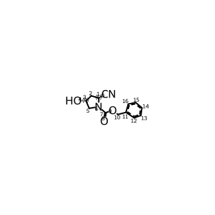 N#C[C@@H]1C[C@@H](O)CN1C(=O)OCc1ccccc1